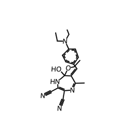 CCOC1(O)NC(C#N)=C(C#N)N=C(C)/C1=C/c1ccc(N(CC)CC)cc1